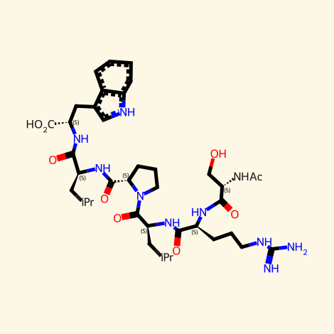 CC(=O)N[C@@H](CO)C(=O)N[C@@H](CCCNC(=N)N)C(=O)N[C@@H](CC(C)C)C(=O)N1CCC[C@H]1C(=O)N[C@@H](CC(C)C)C(=O)N[C@@H](Cc1c[nH]c2ccccc12)C(=O)O